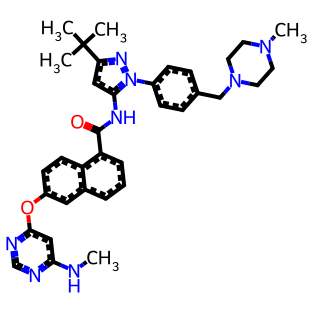 CNc1cc(Oc2ccc3c(C(=O)Nc4cc(C(C)(C)C)nn4-c4ccc(CN5CCN(C)CC5)cc4)cccc3c2)ncn1